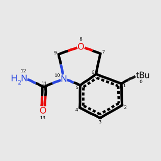 CC(C)(C)c1cccc2c1COCN2C(N)=O